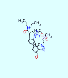 CCCN(CCC)C(=O)C1=Cc2ccc(-c3ccc(C=O)c(/C=N\N(C)CCP(C)(=O)OCC)c3)cc2N=C(N)C1